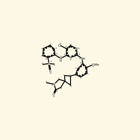 COc1ccc(C2CC3(CC(=O)N(C)C3)C2)cc1Nc1ncc(Cl)c(Nc2ccccc2P(C)(C)=O)n1